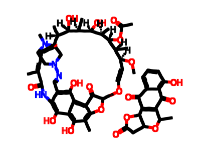 CC1OC2CC(=O)OC2C2=C1C(=O)c1c(O)cccc1C2=O.CO[C@H]1/C=C/O[C@@]2(C)Oc3c(C)c(O)c4c(O)c(c(/C=N/N5CCN(C)CC5)c(O)c4c3C2=O)NC(=O)/C(C)=C\C=C\[C@H](C)[C@H](O)[C@@H](C)[C@@H](O)[C@@H](C)[C@H](OC(C)=O)[C@@H]1C